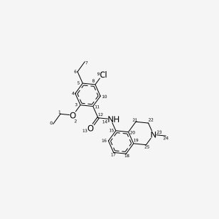 CCOc1cc(CC)c(Cl)cc1C(=O)Nc1cccc2c1CCN(C)C2